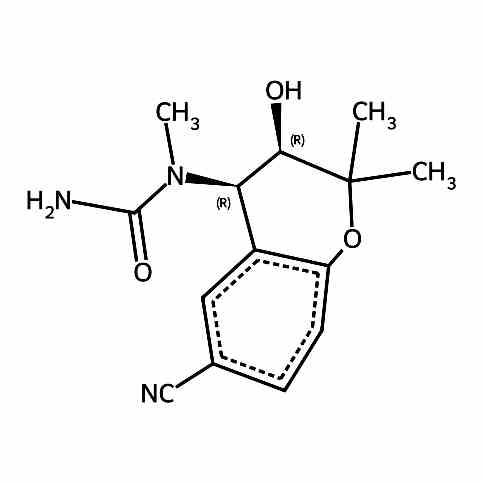 CN(C(N)=O)[C@@H]1c2cc(C#N)ccc2OC(C)(C)[C@@H]1O